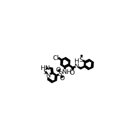 CSc1ccccc1CNC(=O)c1ccc(Cl)cc1NS(=O)(=O)C1=CC=CN2SNC=C12